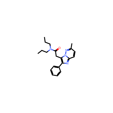 CCCN(CCC)C(=O)Cc1c(-c2ccccc2)nc2ccc(C)nn12